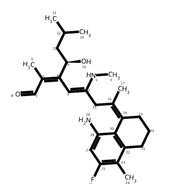 CN/C(=C\C(=C(\C)C=O)[C@H](O)CC(C)C)C/C(C)=C1/CCCc2c(C)c(F)cc(N)c21